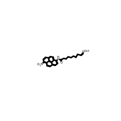 CCCCCCCC/C=C\CCCCCCCC(=O)Nc1ccc2ccc3c([N+](=O)[O-])ccc4ccc1c2c43